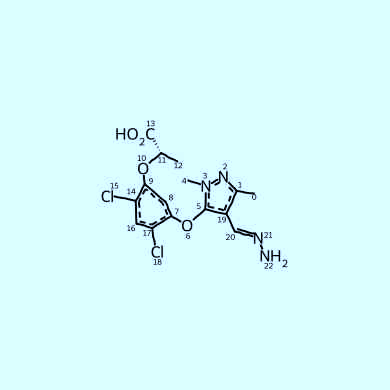 Cc1nn(C)c(Oc2cc(O[C@@H](C)C(=O)O)c(Cl)cc2Cl)c1C=NN